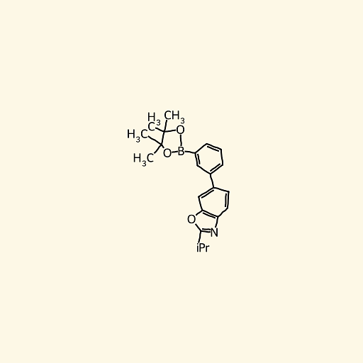 CC(C)c1nc2ccc(-c3cccc(B4OC(C)(C)C(C)(C)O4)c3)cc2o1